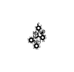 Cc1ccc(N2C(=O)C(=CNc3ccccc3Nc3ccccc3)c3ccccc3C2=O)cc1